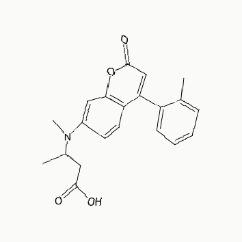 Cc1ccccc1-c1cc(=O)oc2cc(N(C)C(C)CC(=O)O)ccc12